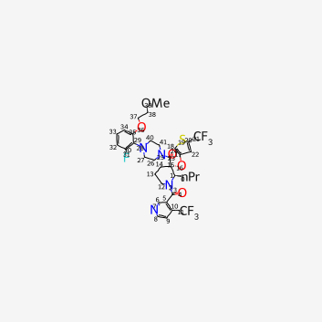 CCC[C@H]1N(C(=O)c2cnccc2C(F)(F)F)CCC[C@@]1(Oc1csc(C(F)(F)F)c1)C(=O)N1CCN(c2c(F)cccc2OCCOC)CC1